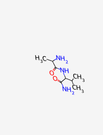 CC(N)C(=O)NC(C(N)=O)C(C)C